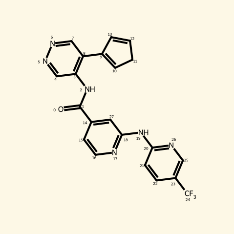 O=C(Nc1cnncc1C1=CCC=C1)c1ccnc(Nc2ccc(C(F)(F)F)cn2)c1